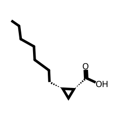 CCCCCCC[C@H]1C[C@H]1C(=O)O